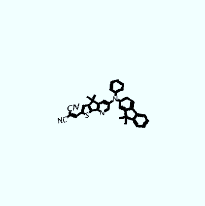 CC1(C)c2ccccc2-c2ccc(N(c3ccccc3)c3cnc4c(c3)C(C)(C)c3cc(C=C(C#N)C#N)sc3-4)cc21